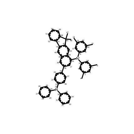 Cc1cc(C)cc(N(c2cc(C)cc(C)c2)c2cc(-c3ccc(N(c4ccccc4)c4ccccc4)cc3)cc3cc4c(cc23)C(C)(C)c2ccccc2-4)c1